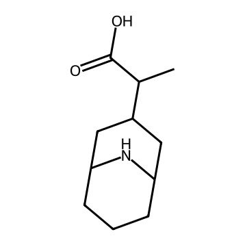 CC(C(=O)O)C1CC2CCCC(C1)N2